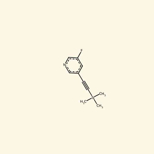 C[Si](C)(C)C#Cc1cncc(F)c1